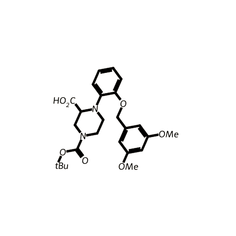 COc1cc(COc2ccccc2N2CCN(C(=O)OC(C)(C)C)CC2C(=O)O)cc(OC)c1